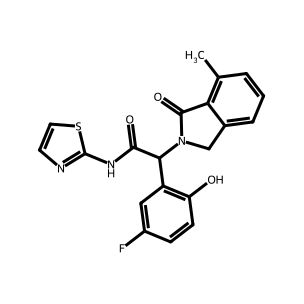 Cc1cccc2c1C(=O)N(C(C(=O)Nc1nccs1)c1cc(F)ccc1O)C2